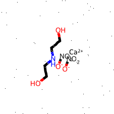 O=[N+]([O-])[O-].O=[N+]([O-])[O-].OCCNCCO.[Ca+2]